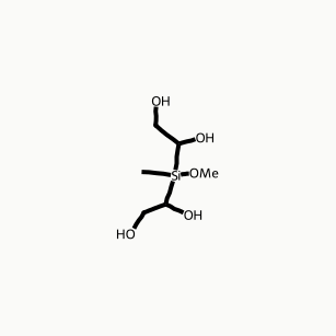 CO[Si](C)(C(O)CO)C(O)CO